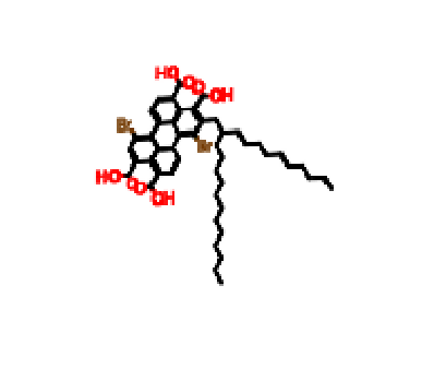 CCCCCCCCCCCCC(CCCCCCCCCC)Cc1c(C(=O)O)c2c(C(=O)O)ccc3c4c(Br)cc(C(=O)O)c5c(C(=O)O)ccc(c(c1Br)c23)c54